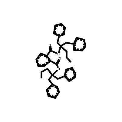 CCCC(Cc1ccccc1)(Cc1ccccc1)OC(=O)c1ccccc1C(=O)OC(CCC)(Cc1ccccc1)Cc1ccccc1